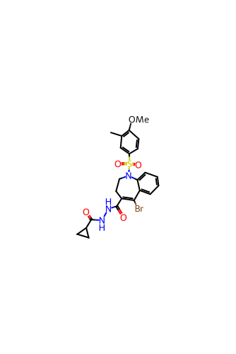 COc1ccc(S(=O)(=O)N2CCC(C(=O)NNC(=O)C3CC3)=C(Br)c3ccccc32)cc1C